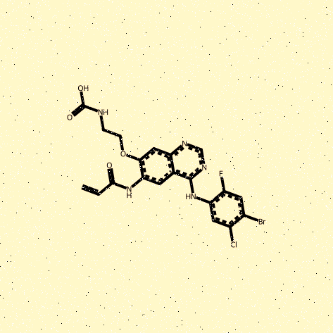 C=CC(=O)Nc1cc2c(Nc3cc(Cl)c(Br)cc3F)ncnc2cc1OCCNC(=O)O